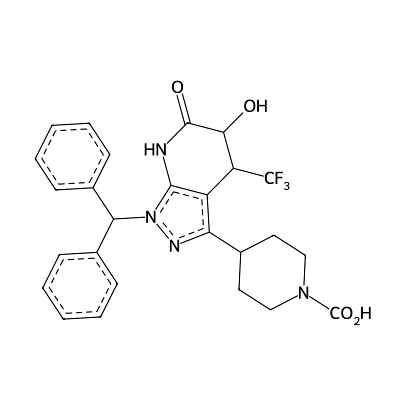 O=C1Nc2c(c(C3CCN(C(=O)O)CC3)nn2C(c2ccccc2)c2ccccc2)C(C(F)(F)F)C1O